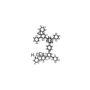 CC1(C)c2ccccc2-c2ccc(-c3cc(-c4ccccc4)cc(-c4ccc(-c5nc(-c6ccccc6)nc(-c6cc(-c7ccccc7)c7oc8ccccc8c7c6)n5)cc4)c3)cc21